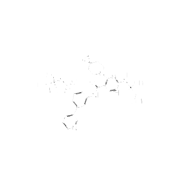 CC(C)(C)NS(=O)(=O)c1cc(NC(=O)c2ccc(NC(C)(C)CO)nc2N2CCC3(CC2)CC3)cc(-c2cccnc2)c1